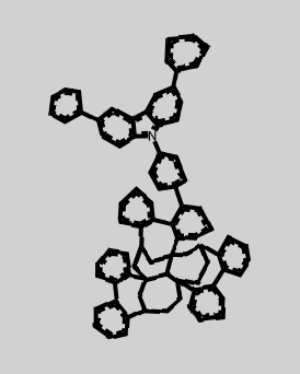 c1ccc(-c2ccc3c(c2)c2cc(-c4ccccc4)ccc2n3-c2ccc(-c3cccc4c3-c3ccccc3C3CC56CC(CCC78CCC(CC4(C3)C75)c3ccccc3-c3ccccc38)c3ccccc3-c3ccccc36)cc2)cc1